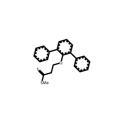 CSC(=S)CCOc1c(-c2ccccc2)cccc1-c1ccccc1